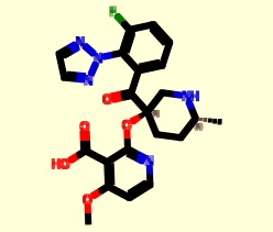 COc1ccnc(O[C@]2(C(=O)c3cccc(F)c3-n3nccn3)CC[C@@H](C)NC2)c1C(=O)O